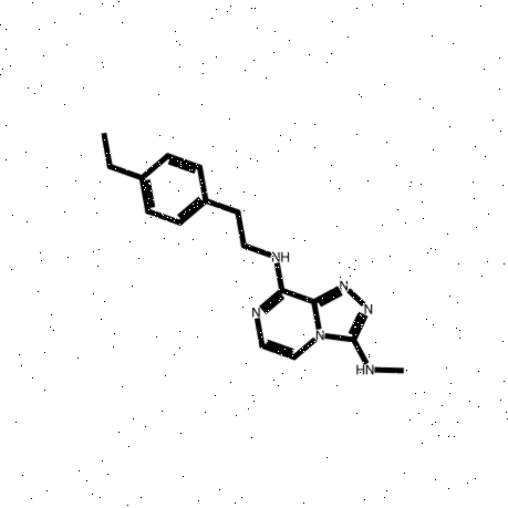 CCc1ccc(CCNc2nccn3c(NC)nnc23)cc1